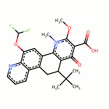 COc1c(C(=O)O)c(=O)c2c(n1C)-c1cc(OC(F)F)c3ncccc3c1CC2C(C)(C)C